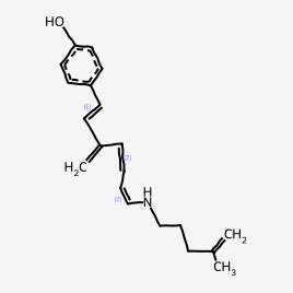 C=C(/C=C\C=C/NCCCC(=C)C)/C=C/c1ccc(O)cc1